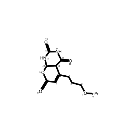 CCCOCCCC1=CC(=O)OC2NC(=O)NC(=O)C12